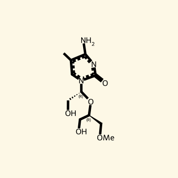 COC[C@@H](CO)O[C@H](CO)n1cc(C)c(N)nc1=O